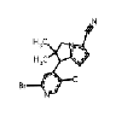 CC1(C)Cn2c(C#N)ccc2C1c1cc(Br)ncc1Cl